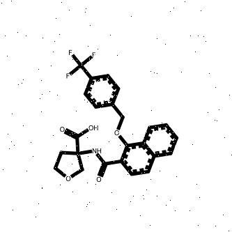 O=C(NC1(C(=O)O)CCOC1)c1ccc2ccccc2c1OCc1ccc(C(F)(F)F)cc1